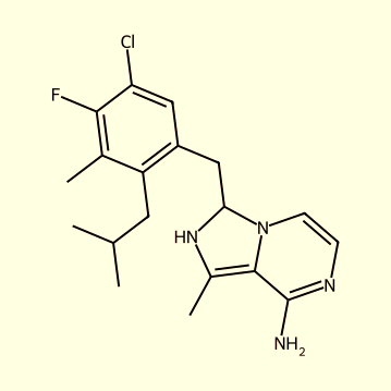 CC1=C2C(N)=NC=CN2C(Cc2cc(Cl)c(F)c(C)c2CC(C)C)N1